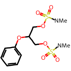 CNS(=O)(=O)OCC(COS(=O)(=O)NC)Oc1ccccc1